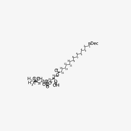 CCCCCCCCCCCCCCCCCCCCCCCCCC(=O)OC[C@H](COP(=O)([O-])OCC[N+](C)(C)C)OO